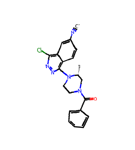 [C-]#[N+]c1ccc2c(N3CCN(C(=O)c4ccccc4)C[C@H]3C)nnc(Cl)c2c1